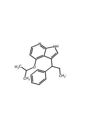 [CH2]CC(c1ccccc1)c1c[nH]c2nccc(OC(C)C)c12